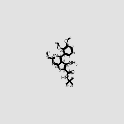 COc1cccc(-c2nc(SC)nc3sc(C(=O)NC(C)(C)C)c(N)c23)c1OC